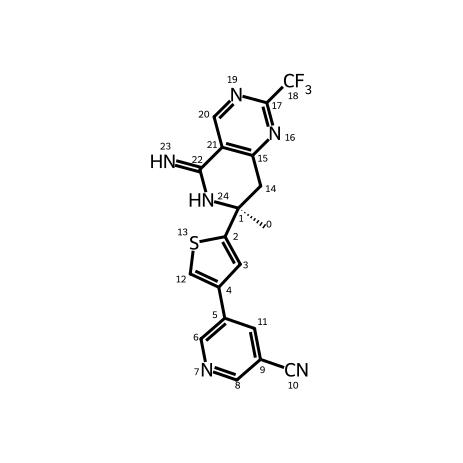 C[C@@]1(c2cc(-c3cncc(C#N)c3)cs2)Cc2nc(C(F)(F)F)ncc2C(=N)N1